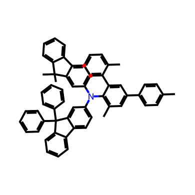 Cc1ccc(-c2cc(C)c(N(c3ccc4c(c3)C(C)(C)c3ccccc3-4)c3ccc4c(c3)C(c3ccccc3)(c3ccccc3)c3ccccc3-4)c(-c3ccccc3C)c2)cc1